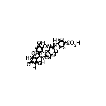 COc1cc(C(NC2=NC(=O)C(CC(=O)Nc3ccc(C(=O)O)cc3)S2)c2c(O)[nH]c(=O)[nH]c2=O)ccc1O